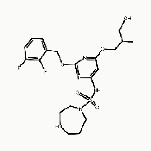 C[C@H](CO)COc1cc(NS(=O)(=O)N2CCCNCC2)nc(SCc2cccc(F)c2F)n1